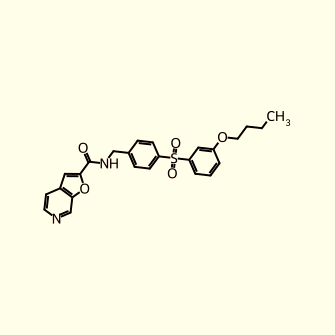 CCCCOc1cccc(S(=O)(=O)c2ccc(CNC(=O)c3cc4ccncc4o3)cc2)c1